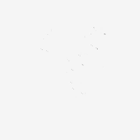 Cc1cc(-c2ccc3c(=O)n(-c4ccc(Cl)c5c(NS(C)(=O)=O)nn(C)c45)c([C@H](Cc4cc(F)cc(F)c4)NC(=O)Cn4nc(C(F)F)c5c4C(F)(F)[C@@H]4C[C@H]54)nc3c2)nn1CC(F)(F)C(F)(F)F